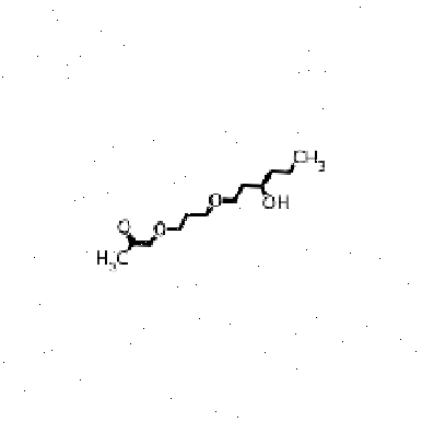 CCCC(O)CCOCCCOCC(C)=O